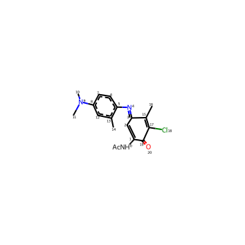 CC(=O)NC1=C/C(=N\c2ccc(N(C)C)cc2C)C(C)=C(Cl)C1=O